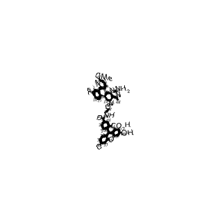 COc1cccc(-c2cc(F)ccc2[C@@H]2C/C(=N\OCCNC(=O)c3ccc(-c4c5ccc(=O)cc-5oc5cc(O)ccc45)c(C(=O)O)c3)c3c(C)nc(N)nc3C2)n1